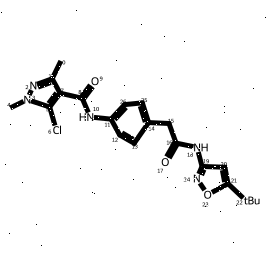 Cc1nn(C)c(Cl)c1C(=O)Nc1ccc(CC(=O)Nc2cc(C(C)(C)C)on2)cc1